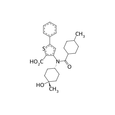 CC1CCC(C(=O)N(c2cc(-c3ccccc3)sc2C(=O)O)[C@H]2CC[C@@](C)(O)CC2)CC1